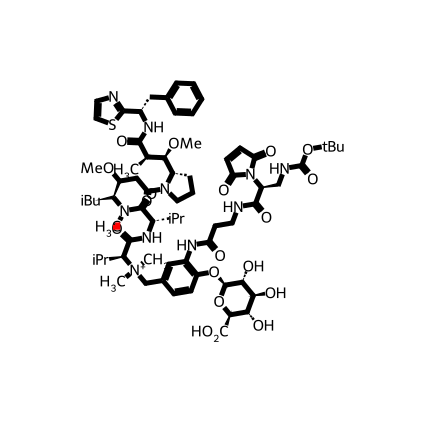 CC[C@H](C)[C@@H](C(CC(=O)N1CCC[C@H]1[C@H](OC)[C@@H](C)C(=O)N[C@@H](Cc1ccccc1)c1nccs1)OC)N(C)C(=O)[C@@H](NC(=O)[C@H](C(C)C)[N+](C)(C)Cc1ccc(O[C@@H]2O[C@H](C(=O)O)[C@@H](O)[C@H](O)[C@H]2O)c(NC(=O)CCNC(=O)[C@H](CNC(=O)OC(C)(C)C)N2C(=O)C=CC2=O)c1)C(C)C